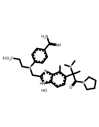 CCOC(=O)CCN(Cc1nc2c(C)c(C(C)(C(=O)N3CCCC3)N(C)C)ccc2[nH]1)c1ccc(C(=N)N)cc1.Cl